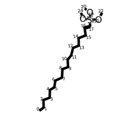 CCCCCCCCCCCCCCCC/C=C/[Si](OC)(OC)OC